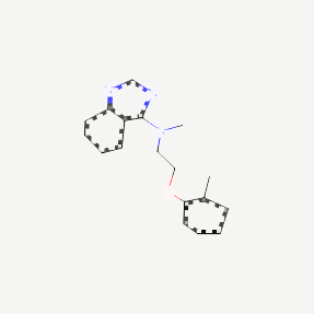 Cc1ccccc1OCCN(C)c1ncnc2ccccc12